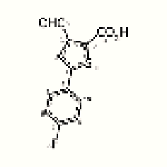 O=Cc1cc(-c2ccc(F)cc2)sc1C(=O)O